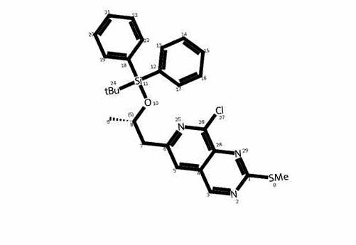 CSc1ncc2cc(C[C@H](C)O[Si](c3ccccc3)(c3ccccc3)C(C)(C)C)nc(Cl)c2n1